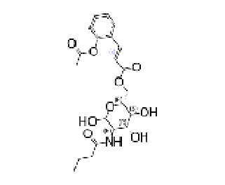 CCCC(=O)N[C@H]1C(O)O[C@H](COC(=O)/C=C/c2ccccc2OC(C)=O)[C@@H](O)[C@@H]1O